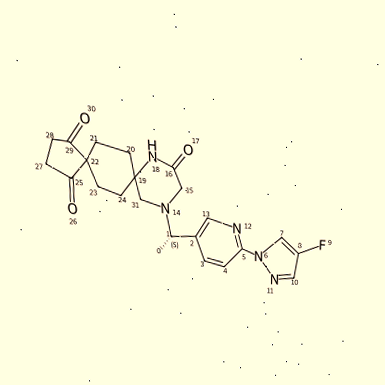 C[C@@H](c1ccc(-n2cc(F)cn2)nc1)N1CC(=O)NC2(CCC3(CC2)C(=O)CCC3=O)C1